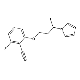 N#Cc1c(F)cccc1OCCC(I)n1cccc1